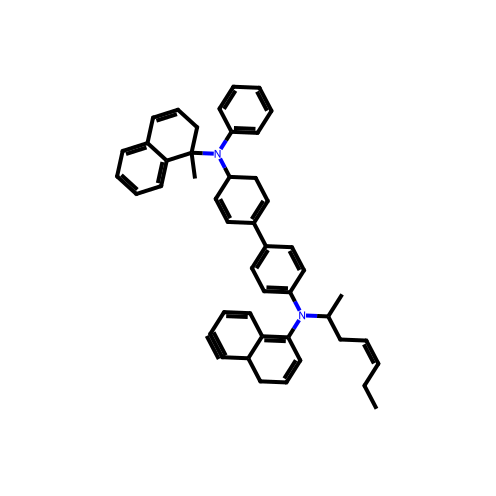 CC/C=C\CC(C)N(C1=C2C=CC#CC2CC=C1)c1ccc(C2=CCC(N(c3ccccc3)C3(C)CC=Cc4ccccc43)C=C2)cc1